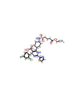 CCOC(=O)CCCS(=O)(=O)NC1CCC(C2=C(C(=O)O)C(c3ccc(F)cc3Cl)N=C(c3nccs3)N2)CC1